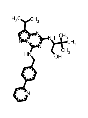 CC(C)c1cnn2c(NCc3ccc(-c4ccccn4)cc3)nc(NC(CO)C(C)(C)C)nc12